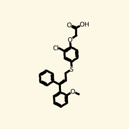 COc1ccccc1C(=CCSc1ccc(OCC(=O)O)c(Cl)c1)c1ccccc1